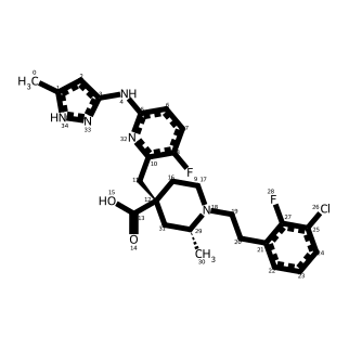 Cc1cc(Nc2ccc(F)c(C[C@@]3(C(=O)O)CCN(CCc4cccc(Cl)c4F)[C@H](C)C3)n2)n[nH]1